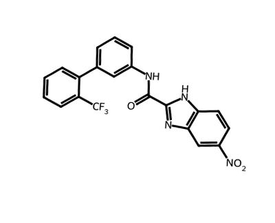 O=C(Nc1cccc(-c2ccccc2C(F)(F)F)c1)c1nc2cc([N+](=O)[O-])ccc2[nH]1